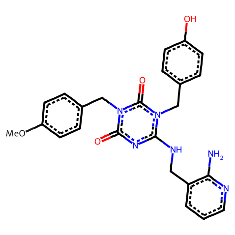 COc1ccc(Cn2c(=O)nc(NCc3cccnc3N)n(Cc3ccc(O)cc3)c2=O)cc1